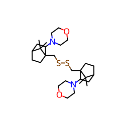 CC1(C)C2CCC1(CSSCC13CCC(CC1N1CCOCC1)C3(C)C)C(N1CCOCC1)C2